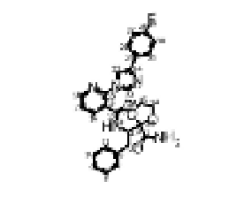 NC(=O)C1(C(Cc2ccccc2)NC(=O)c2cccnc2-n2cnc(-c3ccc(F)cc3)c2)OCCO1